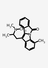 Cc1cccc2c(CC(C)N(C)C)c3n(c12)C(=O)c1ccccc1-3